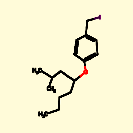 CCCCC(CC(C)C)Oc1ccc(CI)cc1